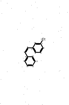 CCc1cccc(/C=C\c2ccccc2)c1